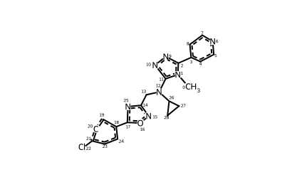 Cn1c(-c2ccncc2)nnc1N(Cc1noc(-c2ccc(Cl)cc2)n1)C1CC1